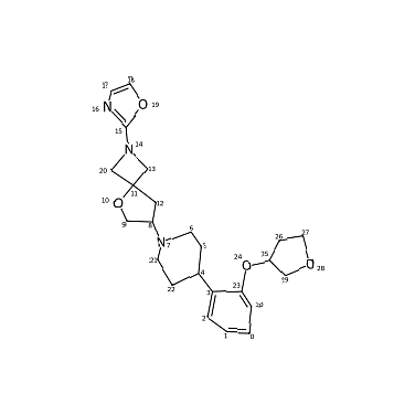 c1ccc(C2CCN(C3COC4(C3)CN(c3ncco3)C4)CC2)c(OC2CCOC2)c1